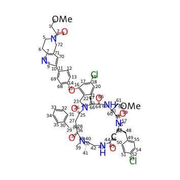 COCC(=O)N1CCc2ncc(-c3ccc(Oc4cc(Cl)ccc4CN4C(=O)C[C@@H](Cc5ccccc5)C(=O)N(C)[C@@H](C)CNC(=O)C[C@H](Cc5ccc(Cl)cc5)N(C)C(=O)[C@H](COC)NC(=O)[C@@H]4C)cc3)cc2C1